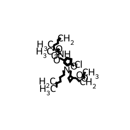 C=CCC(C)C(C)S(=O)(=O)NC(=O)c1ccc(OCl)c(N(CCCCC(=C)CC)CC2CCC2C(C=C)OC(C)=O)c1